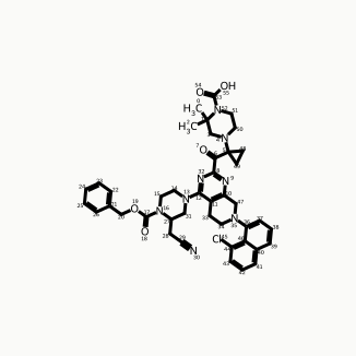 CC1(C)CN(C2(C(=O)c3nc4c(c(N5CCN(C(=O)OCc6ccccc6)C(CC#N)C5)n3)CCN(c3cccc5cccc(Cl)c35)C4)CC2)CCN1C(=O)O